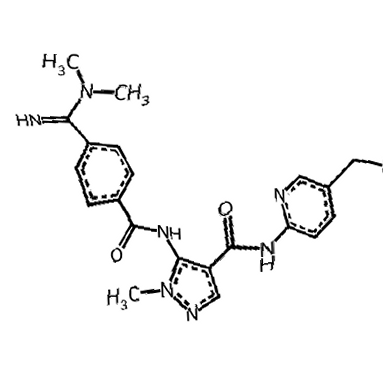 CN(C)C(=N)c1ccc(C(=O)Nc2c(C(=O)Nc3ccc(CI)cn3)cnn2C)cc1